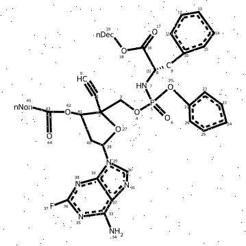 C#CC1(COP(=O)(N[C@@H](Cc2ccccc2)C(=O)OCCCCCCCCCC)Oc2ccccc2)OC(n2cnc3c(N)nc(F)nc32)CC1OC(=O)CCCCCCCCC